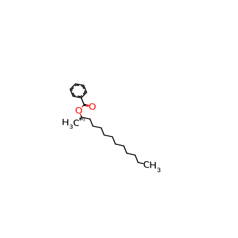 CCCCCCCCCCC[C@@H](C)OC(=O)c1ccccc1